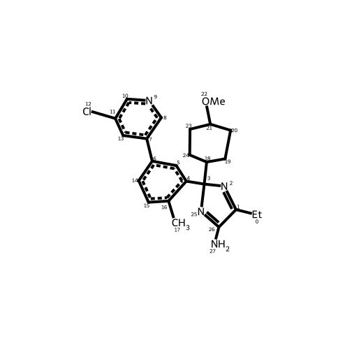 CCC1=NC(c2cc(-c3cncc(Cl)c3)ccc2C)(C2CCC(OC)CC2)N=C1N